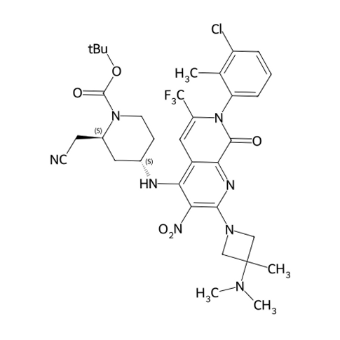 Cc1c(Cl)cccc1-n1c(C(F)(F)F)cc2c(N[C@H]3CCN(C(=O)OC(C)(C)C)[C@H](CC#N)C3)c([N+](=O)[O-])c(N3CC(C)(N(C)C)C3)nc2c1=O